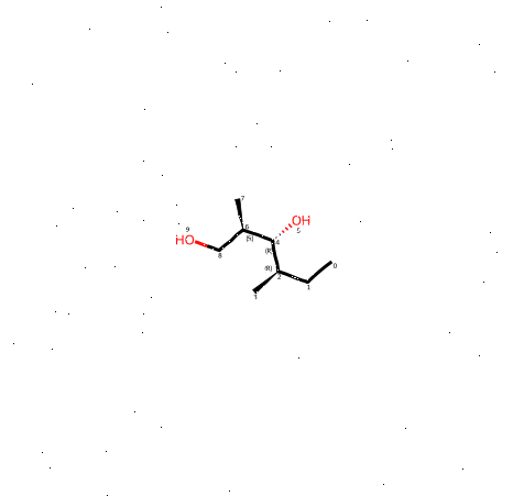 CC[C@@H](C)[C@@H](O)[C@H](C)CO